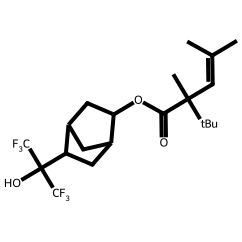 CC(C)=CC(C)(C(=O)OC1CC2CC1CC2C(O)(C(F)(F)F)C(F)(F)F)C(C)(C)C